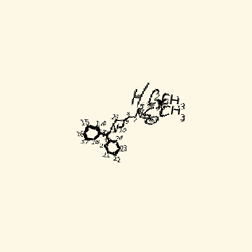 CC(C)(C)[S+]([O-])/N=C/CC1CN(C(c2ccccc2)c2ccccc2)C1